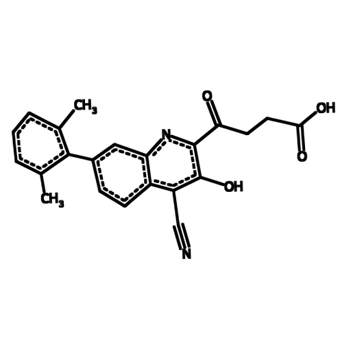 Cc1cccc(C)c1-c1ccc2c(C#N)c(O)c(C(=O)CCC(=O)O)nc2c1